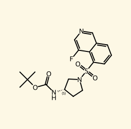 CC(C)(C)OC(=O)N[C@H]1CCN(S(=O)(=O)c2cccc3cncc(F)c23)C1